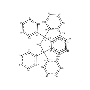 c1ccc(C(OC(c2ccccc2)(c2ccccc2)c2ccccc2)(c2ccccc2)c2ccccc2)cc1